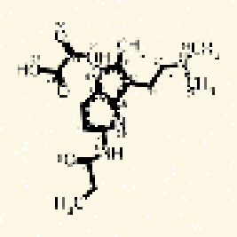 CCC(=O)Nc1ccc2oc(C)c(CCN(C)C)c2n1.O=C(O)C(=O)O